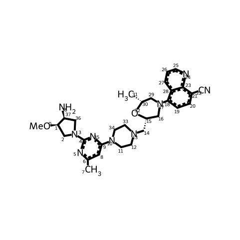 CO[C@@H]1CN(c2nc(C)cc(N3CCN(C[C@H]4CN(c5ccc(C#N)c6ncccc56)C[C@@H](C)O4)CC3)n2)C[C@@H]1N